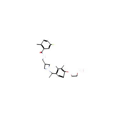 Cc1ccc(F)cc1C(=O)NCC1CN(C(C)c2ccc(OC[C@@H](C)O)c(C)c2C)C1